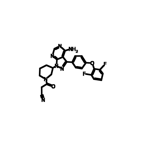 N#CCC(=O)N1CCC[C@@H](n2nc(-c3ccc(Oc4c(F)cccc4F)cc3)c3c(N)ncnc32)C1